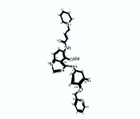 COc1c(NC(=O)/C=C/CN2CCCCC2)ccc2ncnc(Nc3ccc(OCc4ccccn4)c(Cl)c3)c12